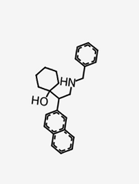 OC1(C(CNCc2ccccc2)c2ccc3ccccc3c2)CCCCC1